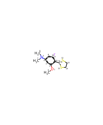 COc1cc(N(C)C)ccc1[C+]1SCCS1.[I-]